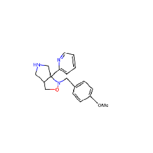 COc1ccc(CN2OCC3CNCC32c2ccccn2)cc1